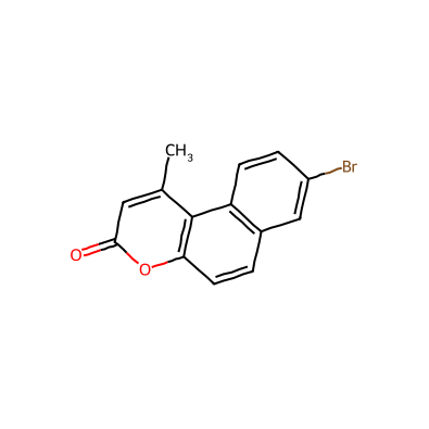 Cc1cc(=O)oc2ccc3cc(Br)ccc3c12